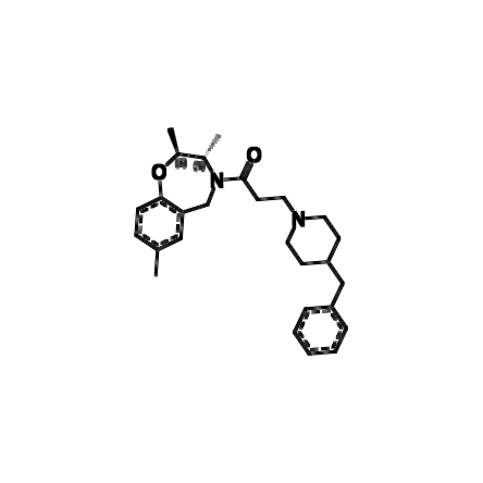 Cc1ccc2c(c1)CN(C(=O)CCN1CCC(Cc3ccccc3)CC1)[C@@H](C)[C@H](C)O2